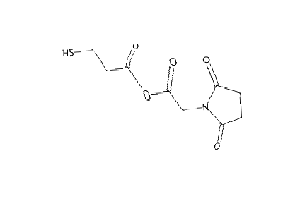 O=C(CCS)OC(=O)CN1C(=O)CCC1=O